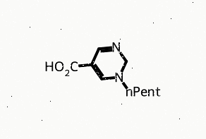 CCCCCN1C=C(C(=O)O)C=NC1